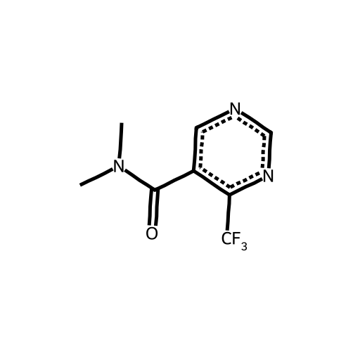 CN(C)C(=O)c1cncnc1C(F)(F)F